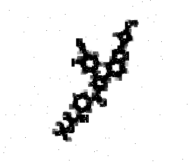 COC1CC(n2cc3cc(-c4sc(C(=O)N5CCC[C@@H](NC(=O)OC(C)(C)C)C5)cc4-c4ccc(C#N)c(F)c4)ccc3n2)C1